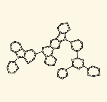 c1ccc(-c2nc(-c3ccccc3)nc(-c3cccc(-n4c5ccccc5c5cc6cc(-c7ccc8c(c7)c7ccccc7n8-c7ccccc7)c7ccccc7c6cc54)c3)n2)cc1